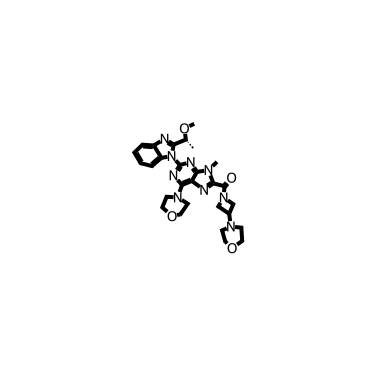 CO[C@H](C)c1nc2ccccc2n1-c1nc(N2CCOCC2)c2nc(C(=O)N3CC(N4CCOCC4)C3)n(C)c2n1